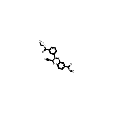 CCOC(=O)c1cccc(N(Sc2cccc(C(=O)N=O)c2)C(C)C#N)c1